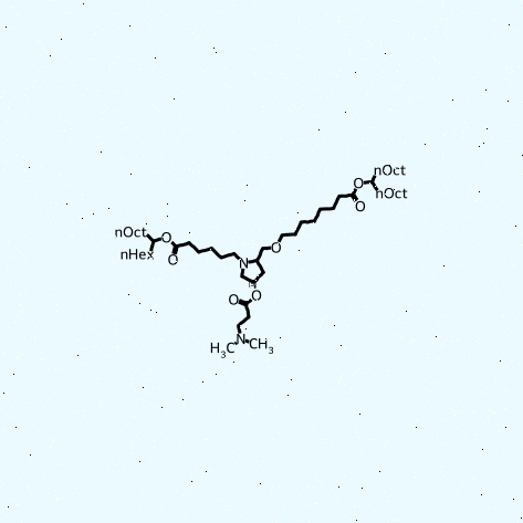 CCCCCCCCC(CCCCCC)OC(=O)CCCCCN1C[C@@H](OC(=O)CCN(C)C)CC1COCCCCCCCC(=O)OC(CCCCCCCC)CCCCCCCC